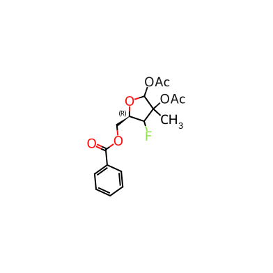 CC(=O)OC1O[C@H](COC(=O)c2ccccc2)C(F)C1(C)OC(C)=O